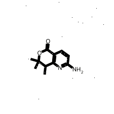 CC1c2nc(N)ccc2C(=O)OC1(C)C